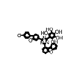 Oc1c(O)c(O)c(-c2nc(-c3ccc4c(c3)oc3cc(Cl)ccc34)nc(-c3cccc4oc5ccccc5c34)n2)c(O)c1O